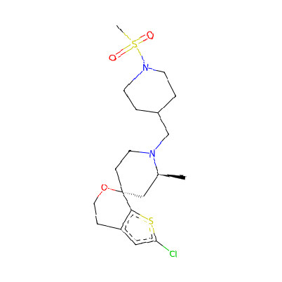 C[C@H]1C[C@@]2(CCN1CC1CCN(S(C)(=O)=O)CC1)OCCc1cc(Cl)sc12